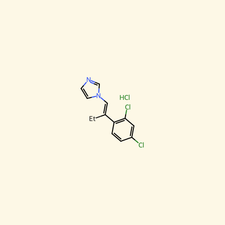 CC/C(=C\n1ccnc1)c1ccc(Cl)cc1Cl.Cl